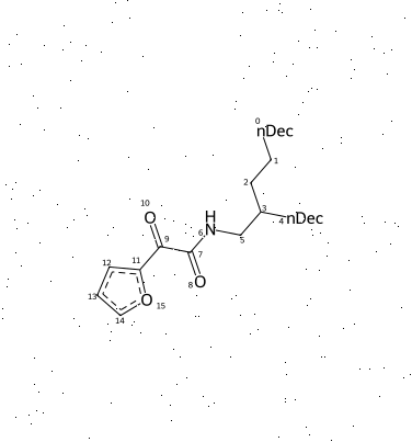 CCCCCCCCCCCCC(CCCCCCCCCC)CNC(=O)C(=O)c1ccco1